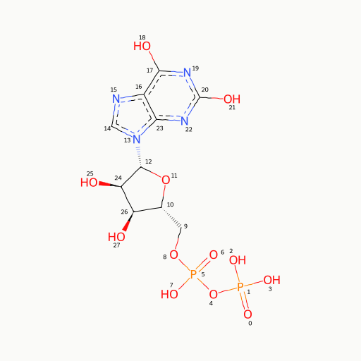 O=P(O)(O)OP(=O)(O)OC[C@H]1O[C@@H](n2cnc3c(O)nc(O)nc32)[C@H](O)[C@@H]1O